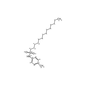 CCCCCCCCCCCCCCS(=O)(=O)Nc1ccc(C)cc1